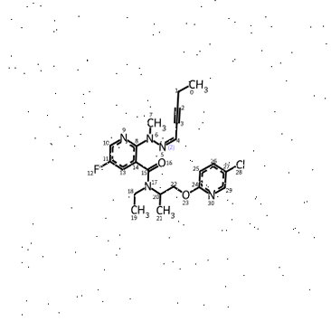 CCC#C/C=N\N(C)c1ncc(F)cc1C(=O)N(CC)C(C)COc1ccc(Cl)cn1